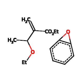 C=C(C(=O)OCC)C(C)OCC.c1ccc2c(c1)O2